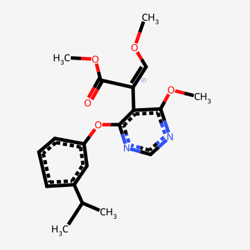 CO/C=C(\C(=O)OC)c1c(OC)ncnc1Oc1cccc(C(C)C)c1